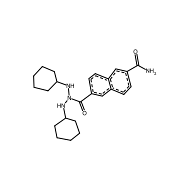 NC(=O)c1ccc2cc(C(=O)N(NC3CCCCC3)NC3CCCCC3)ccc2c1